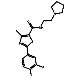 Cc1nc(-c2ccc(F)c(F)c2)sc1C(=O)NCCN1CCCC1